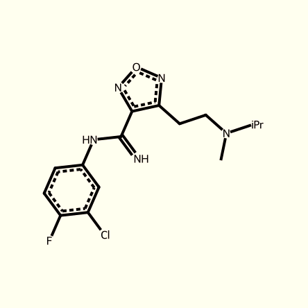 CC(C)N(C)CCc1nonc1C(=N)Nc1ccc(F)c(Cl)c1